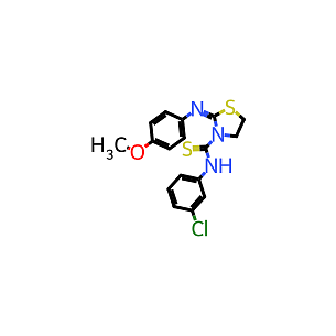 COc1ccc(/N=C2/SCCN2C(=S)Nc2cccc(Cl)c2)cc1